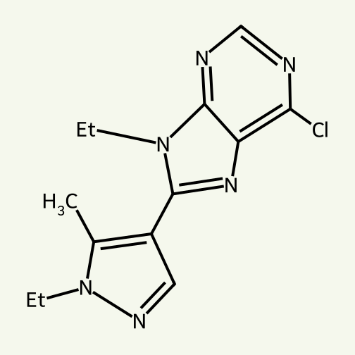 CCn1ncc(-c2nc3c(Cl)ncnc3n2CC)c1C